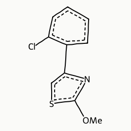 COc1nc(-c2ccccc2Cl)cs1